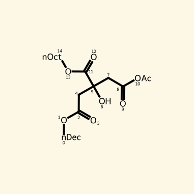 CCCCCCCCCCOC(=O)CC(O)(CC(=O)OC(C)=O)C(=O)OCCCCCCCC